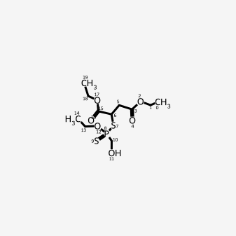 CCOC(=O)CC(SP(=S)(CO)OCC)C(=O)OCC